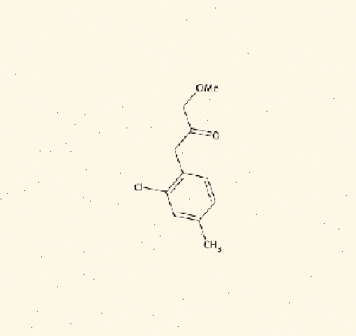 COCC(=O)Cc1ccc(C)cc1Cl